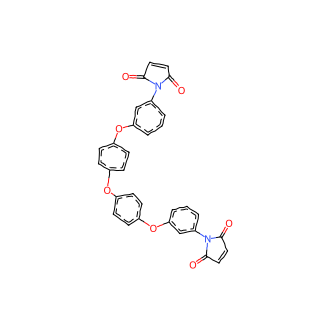 O=C1C=CC(=O)N1c1cccc(Oc2ccc(Oc3ccc(Oc4cccc(N5C(=O)C=CC5=O)c4)cc3)cc2)c1